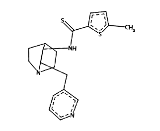 Cc1ccc(C(=S)NC2C3CCN(CC3)C2Cc2cccnc2)s1